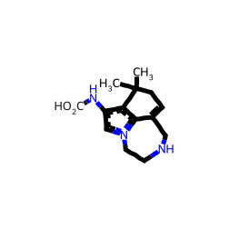 CC1(C)CC=C2CNCCn3cc(NC(=O)O)c1c32